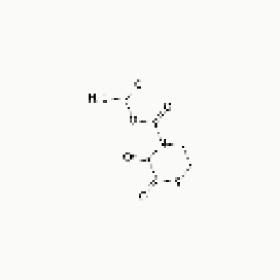 CC(Cl)OC(=O)N1CCSC(=O)C1=O